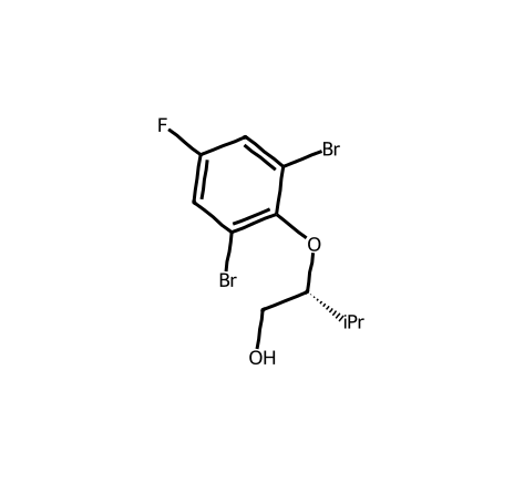 CC(C)[C@H](CO)Oc1c(Br)cc(F)cc1Br